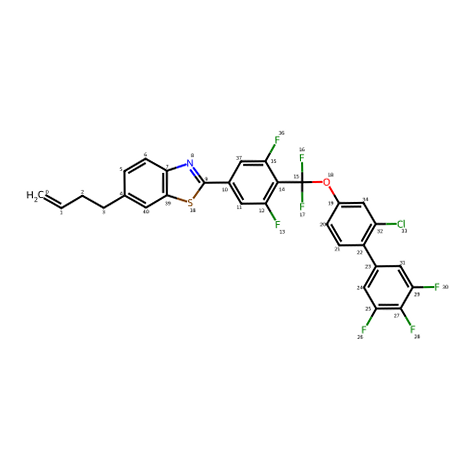 C=CCCc1ccc2nc(-c3cc(F)c(C(F)(F)Oc4ccc(-c5cc(F)c(F)c(F)c5)c(Cl)c4)c(F)c3)sc2c1